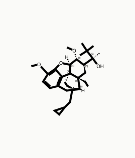 CC[C@]12C[C@H]([C@](C)(O)C(C)(C)C)[C@@H](OC)[C@@H]3Oc4c(OC)ccc5c4[C@@]31CCN(CC1CC1)[C@@H]2C5